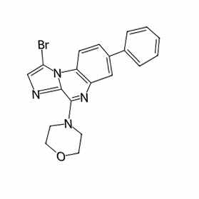 Brc1cnc2c(N3CCOCC3)nc3cc(-c4ccccc4)ccc3n12